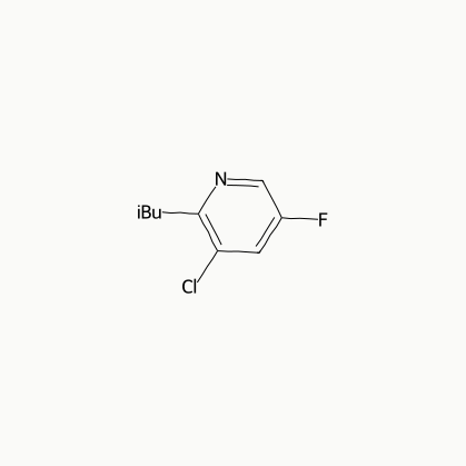 CCC(C)c1ncc(F)cc1Cl